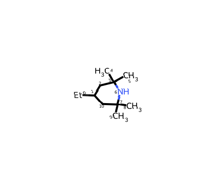 CCC1CC(C)(C)NC(C)(C)C1